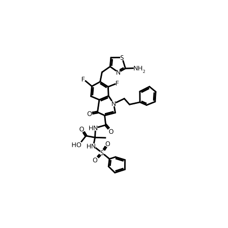 CC(NC(=O)c1cn(CCc2ccccc2)c2c(F)c(Cc3csc(N)n3)c(F)cc2c1=O)(NS(=O)(=O)c1ccccc1)C(=O)O